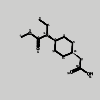 CCN(C(=O)OC)[C@H]1CC[C@H](CC(=O)O)CC1